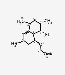 CC[C@@H]1C2C(=C[C@H](C)C[C@@H]2OCOC)C(C)C[C@@H]1C